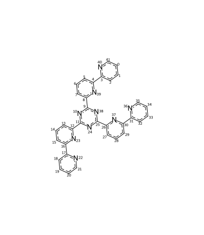 c1ccc(-c2cccc(-c3nc(-c4cccc(-c5ccccn5)n4)nc(-c4cccc(-c5ccccn5)n4)n3)n2)nc1